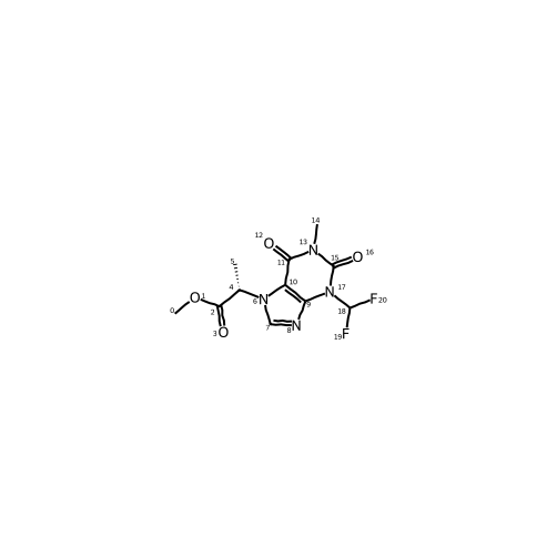 COC(=O)[C@H](C)n1cnc2c1c(=O)n(C)c(=O)n2C(F)F